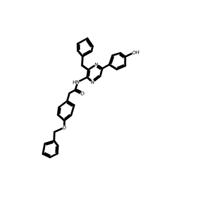 O=C(Cc1ccc(OCc2ccccc2)cc1)Nc1ncc(-c2ccc(O)cc2)nc1Cc1ccccc1